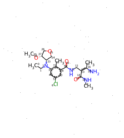 CCN(c1cc(Cl)cc(C(=O)NC/C(C(=O)NC)=C(\C)N)c1C)[C@@H]1COC[C@H]1OC